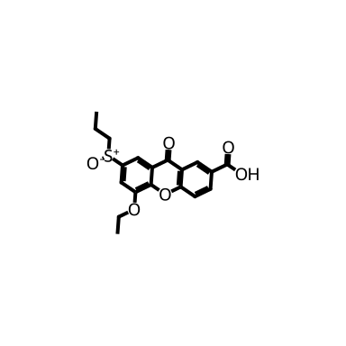 CCC[S+]([O-])c1cc(OCC)c2oc3ccc(C(=O)O)cc3c(=O)c2c1